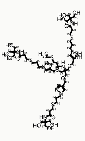 CCSCCC(=O)NC(COCC1=CN(CCCSCCC(=O)NC(CO)(CO)CO)NN1)(COCc1cn(CCCSCCC(=O)NC(CO)(CO)CO)nn1)COCc1cn(CCCSCCC(=O)NC(CO)(CO)CO)nn1